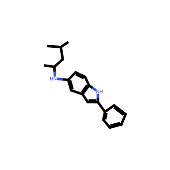 CC(C)CC(C)Nc1ccc2[nH]c(-c3ccccc3)cc2c1